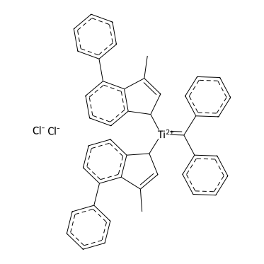 CC1=C[CH]([Ti+2](=[C](c2ccccc2)c2ccccc2)[CH]2C=C(C)c3c(-c4ccccc4)cccc32)c2cccc(-c3ccccc3)c21.[Cl-].[Cl-]